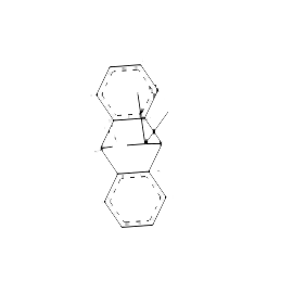 CCOC(=O)C1(C(=O)OCC)C2c3ccccc3C(c3ccccc32)[S+]1[O-]